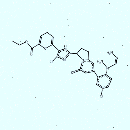 CCOC(=O)C1=CCC=C(c2[nH]c(C3CCc4cc(-c5cc(Cl)ccc5N(N)/C=N\N)cc(=O)n43)nc2Cl)S1